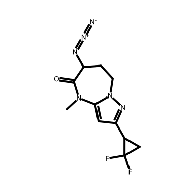 CN1C(=O)C(N=[N+]=[N-])CCn2nc(C3CC3(F)F)cc21